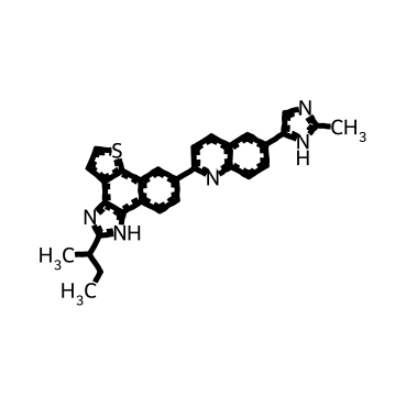 CCC(C)c1nc2c3ccsc3c3cc(-c4ccc5cc(-c6cnc(C)[nH]6)ccc5n4)ccc3c2[nH]1